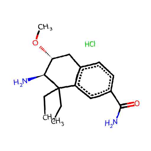 CCC1(CC)c2cc(C(N)=O)ccc2C[C@@H](OC)[C@@H]1N.Cl